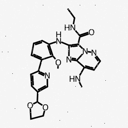 CCNC(=O)c1c(Nc2cccc(-c3ccc(C4OCCO4)cn3)c2OC)nc2c(NC)ccnn12